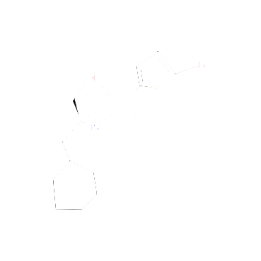 O=S(=O)(N[C@H](CO)CC1CCCCC1)c1ccc(Br)s1